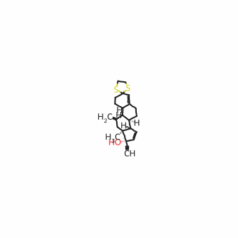 C#C[C@]1(O)C=C[C@H]2[C@@H]3CCC4=CC5(CC[C@@H]4[C@H]3C(=C)C[C@@]21C)SCCS5